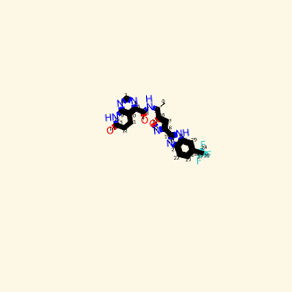 C[C@@H](NC(=O)c1ncnc2c1CCC(=O)N2)c1cc(-c2nc3ccc(C(F)(F)F)cc3[nH]2)no1